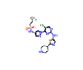 CCCS(=O)(=O)Nc1cnn(-c2nc(Nc3cnc(C4CCNCC4)s3)ncc2Cl)c1